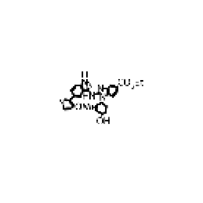 CCOC(=O)c1ccc2c(c1)nc(Nc1n[nH]c3ccc(-c4cnccc4OC)cc13)n2[C@H]1CC[C@H](O)CC1